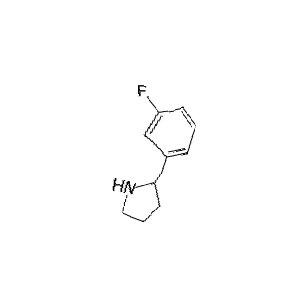 Fc1cccc(C2CCCN2)c1